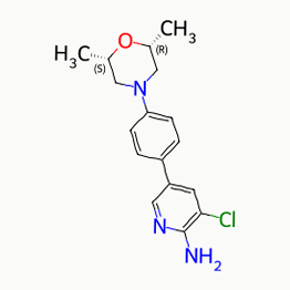 C[C@@H]1CN(c2ccc(-c3cnc(N)c(Cl)c3)cc2)C[C@H](C)O1